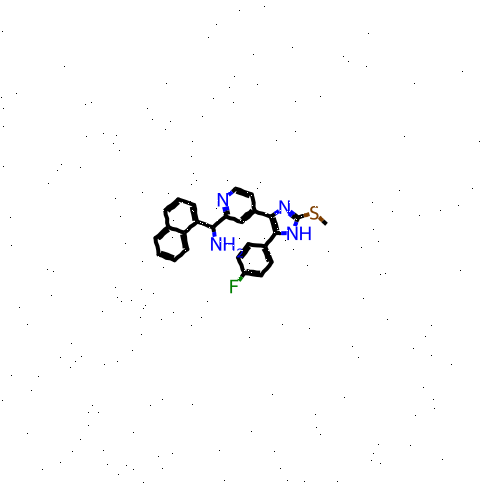 CSc1nc(-c2ccnc(C(N)c3cccc4ccccc34)c2)c(-c2ccc(F)cc2)[nH]1